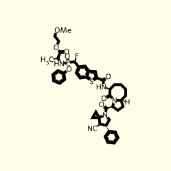 COCCOC(=O)[C@H](C)NP(=O)(Oc1ccccc1)[C@@H](F)c1ccc2sc(C(=O)N[C@H]3CCCC[C@H]4CC[C@@H](C(=O)N5C[C@H](c6ccccc6)[C@@H](C#N)C56CC6)N4C3=O)cc2c1